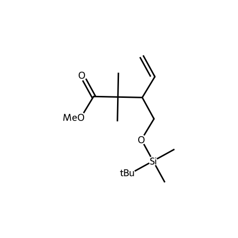 C=CC(CO[Si](C)(C)C(C)(C)C)C(C)(C)C(=O)OC